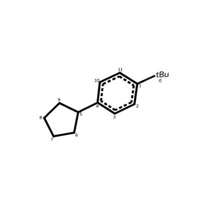 CC(C)(C)c1ccc([C]2CCCC2)cc1